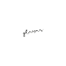 CCCCCOCCOCC(=O)NC